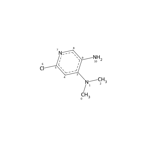 CN(C)c1cc(Cl)ncc1N